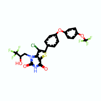 O=c1[nH]c(=O)n(CC(O)C(F)(F)F)c2c(Cl)c(-c3ccc(Oc4ccc(OC(F)(F)F)cc4)cc3)sc12